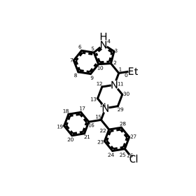 CCC(c1c[nH]c2ccccc12)N1CCN(C(c2ccccc2)c2ccc(Cl)cc2)CC1